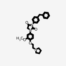 COc1cc(N2CC(=O)N(c3ccc(Cc4ccccc4)cc3)C2=O)ccc1OCCN1CCCC1